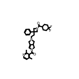 Cc1ccnc(C)c1C(=O)N1C=C2CN(CCC3(c4ccccc4)CN(C(=O)C4CCC(F)(F)CC4)C3)CC2C1